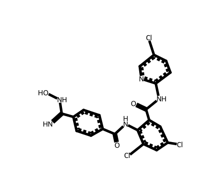 N=C(NO)c1ccc(C(=O)Nc2c(Cl)cc(Cl)cc2C(=O)Nc2ccc(Cl)cn2)cc1